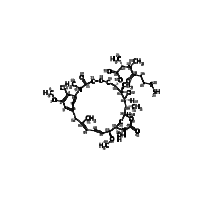 COc1cc2cc(c1Cl)N(C)C(=O)CCC[C@H](OC(=O)[C@H](C)N(C)C(=O)CCSS)[C@]1(C)O[C@H]1[C@H](C)[C@@H]1C[C@@](O)(NC(=O)O1)[C@@H](OC)/C=C/C=C(\C)C2